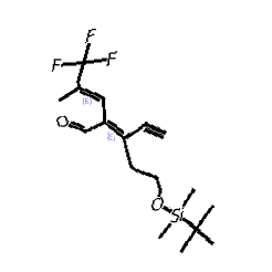 C=C/C(CCO[Si](C)(C)C(C)(C)C)=C(C=O)\C=C(/C)C(F)(F)F